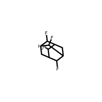 NC1C2CC3C(F)C1CC(C2F)C3F